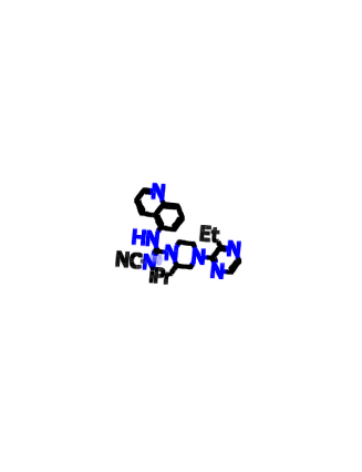 CCc1nccnc1N1CCN(/C(=N/C#N)Nc2cccc3ncccc23)C(C(C)C)C1